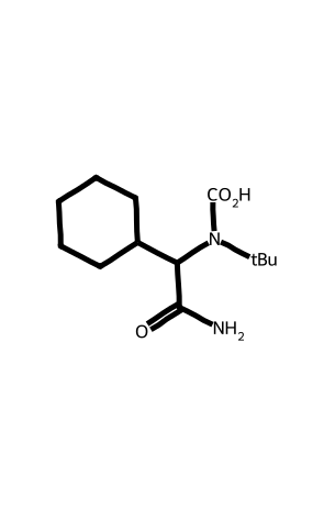 CC(C)(C)N(C(=O)O)C(C(N)=O)C1CCCCC1